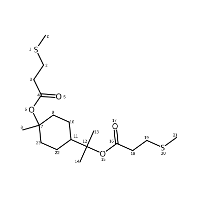 CSCCC(=O)OC1(C)CCC(C(C)(C)OC(=O)CCSC)CC1